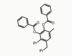 Cc1cc(CC(C)C)c(C(C)C)c(OC(=O)c2ccccc2)c1OC(=O)c1ccccc1